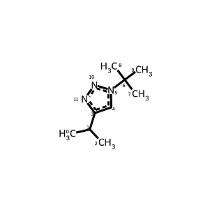 CC(C)c1cn(C(C)(C)C)nn1